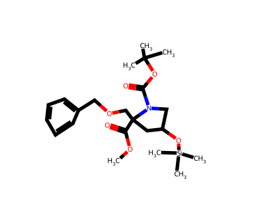 COC(=O)C1(COCc2ccccc2)CC(O[Si](C)(C)C)CN1C(=O)OC(C)(C)C